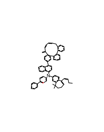 C=C(/C=C\C(=C/C)N(c1ccc2c(c1)C(C)(C)CCC=C2/C=C\CC)c1ccc(-c2ccc3c(c2)-c2ccccc2-c2ccccc2C/C=C\C=C/C3=C)c2ccccc12)c1ccccc1